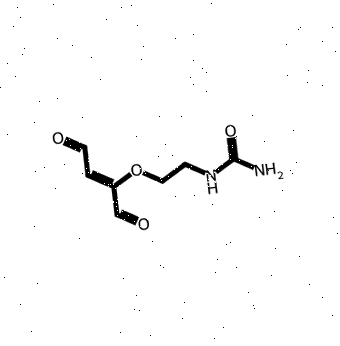 NC(=O)NCCO/C(C=O)=C\C=O